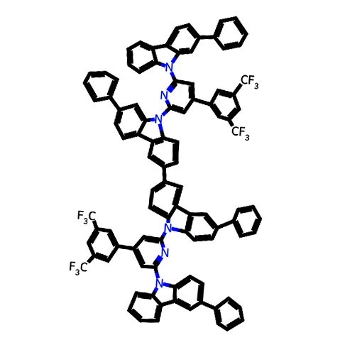 FC(F)(F)c1cc(-c2cc(-n3c4ccccc4c4cc(-c5ccccc5)ccc43)nc(-n3c4ccc(-c5ccccc5)cc4c4cc(-c5ccc6c(c5)c5ccc(-c7ccccc7)cc5n6-c5cc(-c6cc(C(F)(F)F)cc(C(F)(F)F)c6)cc(-n6c7ccccc7c7ccc(-c8ccccc8)cc76)n5)ccc43)c2)cc(C(F)(F)F)c1